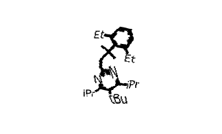 CCc1cccc(CC)c1C(C)(C)Cc1nc(C(C)C)c(C(C)(C)C)c(C(C)C)n1